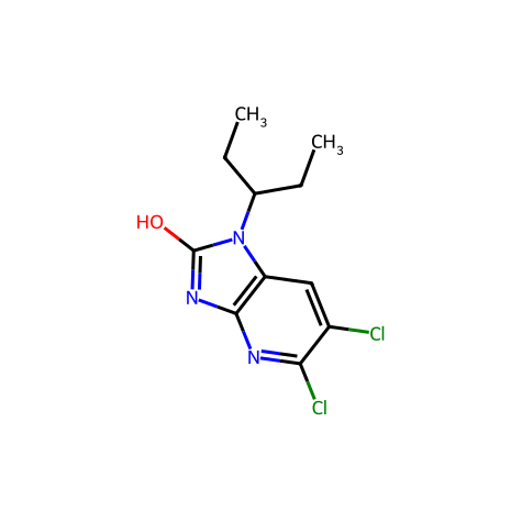 CCC(CC)n1c(O)nc2nc(Cl)c(Cl)cc21